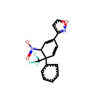 O=[N+]([O-])C1C=C(c2ccon2)C=CC1(c1ccccc1)C(F)(F)F